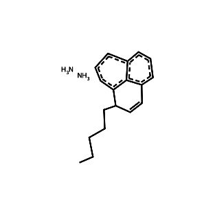 CCCCCC1C=Cc2cccc3cccc1c23.N.N